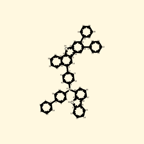 c1ccc(-c2ccc(N(c3ccc(-c4cc5c6cc(-c7ccccc7)c(-c7ccccc7)cc6oc5c5ccccc45)cc3)c3cccc4c3oc3ccccc34)cc2)cc1